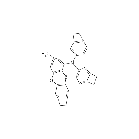 Cc1cc2c3c(c1)N(c1ccc4c(c1)CC4)c1cc4c(cc1B3c1cc3c(cc1O2)CC3)CC4